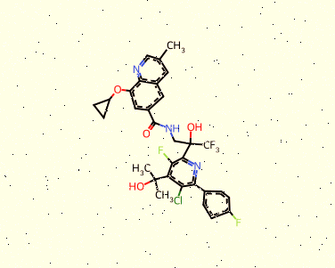 Cc1cnc2c(OC3CC3)cc(C(=O)NCC(O)(c3nc(-c4ccc(F)cc4)c(Cl)c(C(C)(C)O)c3F)C(F)(F)F)cc2c1